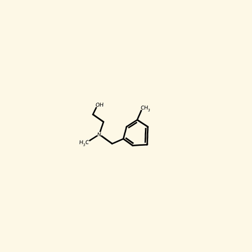 Cc1cccc(CN(C)CCO)c1